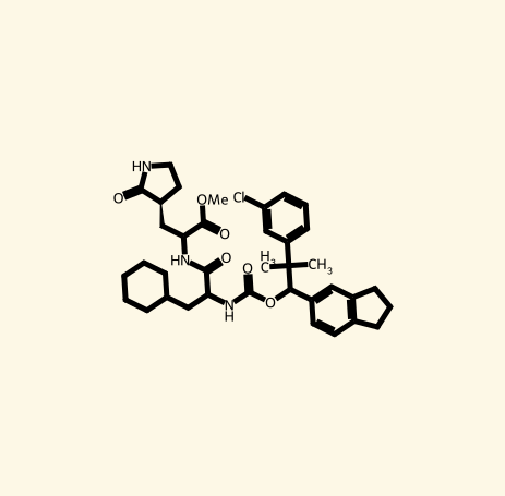 COC(=O)C(C[C@@H]1CCNC1=O)NC(=O)C(CC1CCCCC1)NC(=O)OC(c1ccc2c(c1)CCC2)C(C)(C)c1cccc(Cl)c1